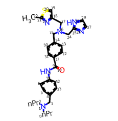 CCCN(CCC)Cc1ccc(NC(=O)c2ccc(CN(Cc3csc(C)n3)Cc3ncc[nH]3)cc2)cc1